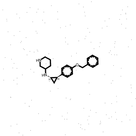 c1ccc(COc2ccc([C@H]3C[C@@H]3NC3CCCNC3)cc2)cc1